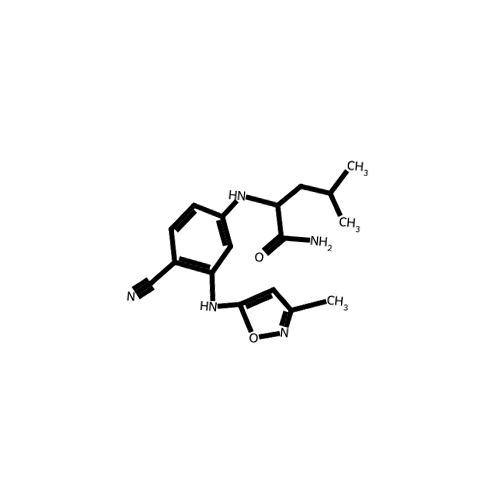 Cc1cc(Nc2cc(NC(CC(C)C)C(N)=O)ccc2C#N)on1